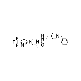 C[C@@H]1CN(c2ccc(C(F)(F)F)nc2)CCN1C(=O)NCCC1CCN(Cc2ccccc2)CC1